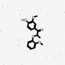 COc1cc(C(=O)C(C)Oc2ccccc2OC)ccc1O